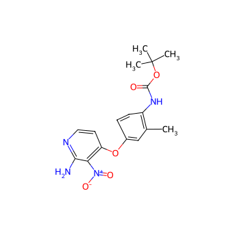 Cc1cc(Oc2ccnc(N)c2[N+](=O)[O-])ccc1NC(=O)OC(C)(C)C